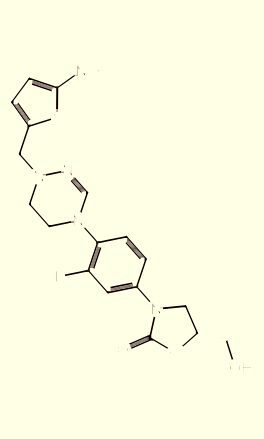 O=C1O[C@@H](CO)CN1c1ccc(N2C=NN(Cc3ccc([N+](=O)[O-])s3)CC2)c(F)c1